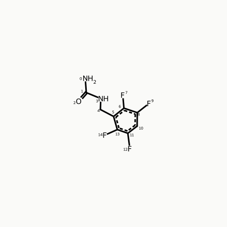 NC(=O)NCc1c(F)c(F)cc(F)c1F